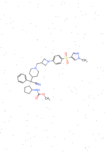 COC(=O)N[C@H]1CCC[C@@H]1C(C#N)(c1ccccc1)C1CCN(CC2CN(c3ccc(S(=O)(=O)c4cnn(C)c4)cc3)C2)CC1